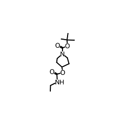 CCNC(=O)OC1CCN(C(=O)OC(C)(C)C)CC1